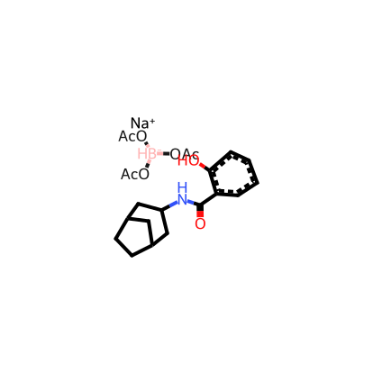 CC(=O)O[BH-](OC(C)=O)OC(C)=O.O=C(NC1CC2CCC(C2)C1)c1ccccc1O.[Na+]